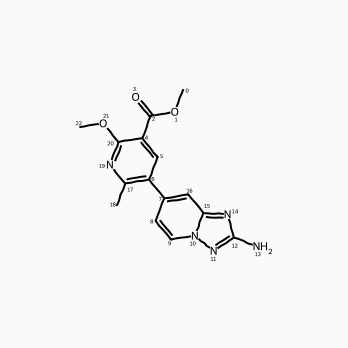 COC(=O)c1cc(-c2ccn3nc(N)nc3c2)c(C)nc1OC